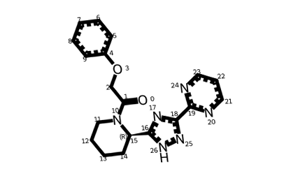 O=C(COc1ccccc1)N1CCCC[C@@H]1c1nc(-c2ncccn2)n[nH]1